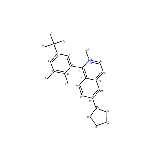 Cc1cc(C(C)(C)C)cc(-c2c3ccc(C4CCCC4)cc3cc[n+]2C)c1C